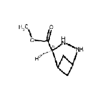 COC(=O)[C@H]1NNC2CC1C2